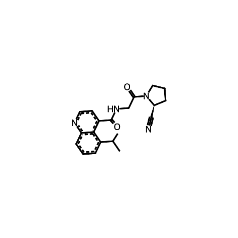 CC(C)c1cccc2nccc(C(=O)NCC(=O)N3CCC[C@H]3C#N)c12